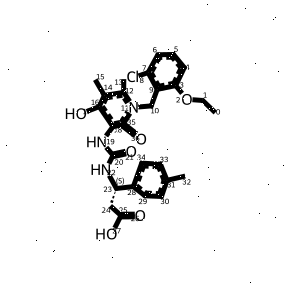 CCOc1cccc(Cl)c1Cn1c(C)c(C)c(O)c(NC(=O)N[C@@H](CC(=O)O)c2ccc(C)cc2)c1=O